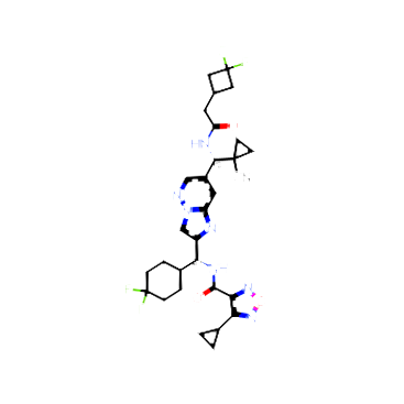 N#CC1([C@@H](NC(=O)CC2CC(F)(F)C2)c2cnn3cc([C@@H](NC(=O)c4nonc4C4CC4)C4CCC(F)(F)CC4)nc3c2)CC1